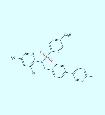 Cc1ccc(-c2ccc(CN(c3ncc(C(F)(F)F)cc3Cl)S(=O)(=O)c3ccc(C(=O)O)cc3)cc2)cn1